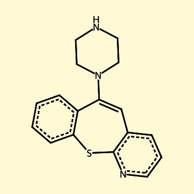 C1=C(N2CCNCC2)c2ccccc2Sc2ncccc21